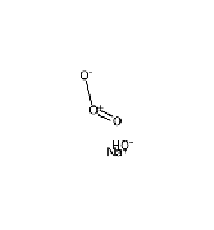 O=[O+][O-].[Na+].[OH-]